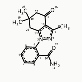 Cc1nn(-c2ccccc2C(N)=O)c2c1C(=O)CC(C)(C)C2